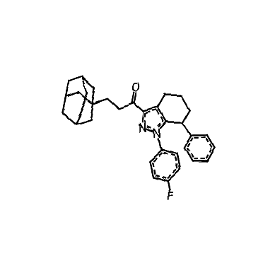 O=C(CCC12CC3CC(CC(C3)C1)C2)c1nn(-c2ccc(F)cc2)c2c1CCCC2c1ccccc1